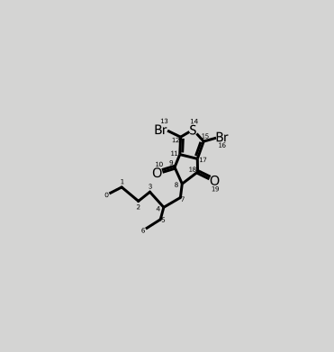 CCCCC(CC)CC1C(=O)c2c(Br)sc(Br)c2C1=O